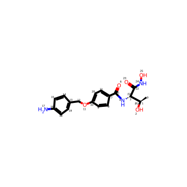 C[C@@H](O)[C@H](NC(=O)c1ccc(OCc2ccc(N)cc2)cc1)C(=O)NO